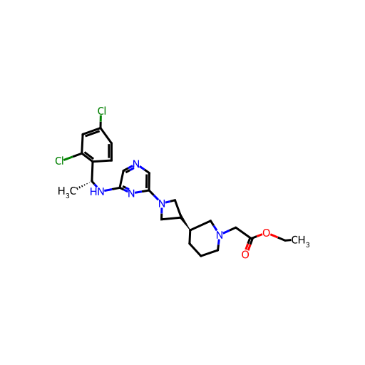 CCOC(=O)CN1CCC[C@@H](C2CN(c3cncc(N[C@H](C)c4ccc(Cl)cc4Cl)n3)C2)C1